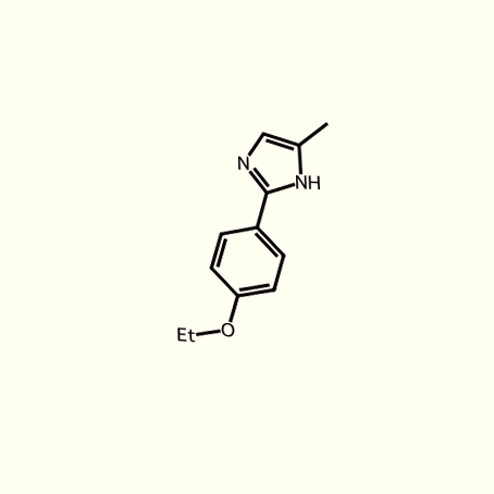 CCOc1ccc(-c2ncc(C)[nH]2)cc1